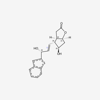 O=C1C[C@@H]2[C@@H](/C=C/[C@@H](O)c3cc4ccccc4s3)[C@H](O)C[C@@H]2O1